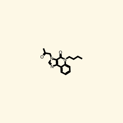 CCCCn1c(=O)c2c(ncn2CC(C)=O)c2ccccc21